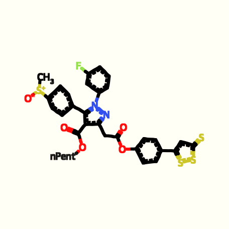 CCCCCOC(=O)c1c(CC(=O)Oc2ccc(-c3cc(=S)ss3)cc2)nn(-c2cccc(F)c2)c1-c1ccc([S+](C)[O-])cc1